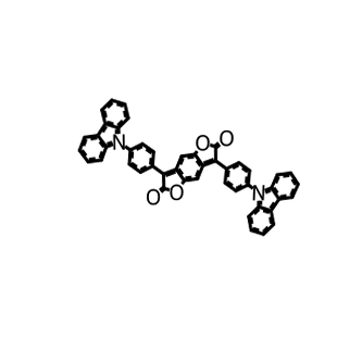 O=C1Oc2cc3c(cc2=C1c1ccc(-n2c4ccccc4c4ccccc42)cc1)OC(=O)C=3c1ccc(-n2c3ccccc3c3ccccc32)cc1